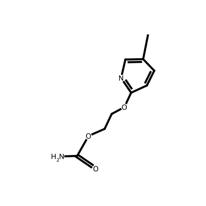 Cc1ccc(OCCOC(N)=O)nc1